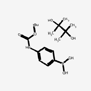 CC(C)(C)OC(=O)Nc1ccc(B(O)O)cc1.CC(C)(O)C(C)(C)O